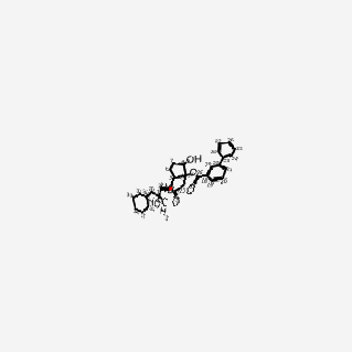 CC(O)(C=CC1CCC(O)C1(CC(=O)O)OC(=O)c1cccc(-c2ccccc2)c1)CC1CCCCC1